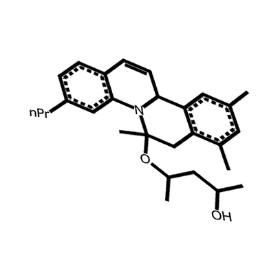 CCCc1ccc2c(c1)N1C(C=C2)c2cc(C)cc(C)c2CC1(C)OC(C)CC(C)O